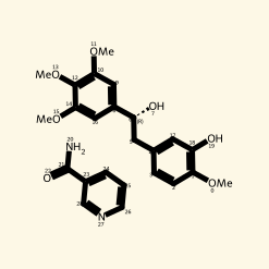 COc1ccc(C[C@@H](O)c2cc(OC)c(OC)c(OC)c2)cc1O.NC(=O)c1cccnc1